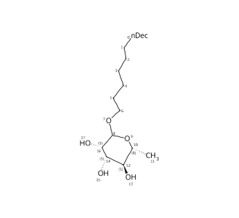 CCCCCCCCCCCCCCCCOC1O[C@H](C)[C@@H](O)[C@H](O)[C@@H]1O